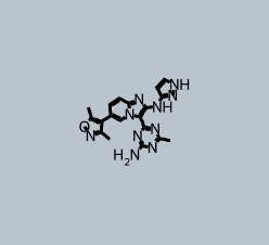 Cc1nc(N)nc(-c2c(Nc3cc[nH]n3)nc3ccc(-c4c(C)noc4C)cn23)n1